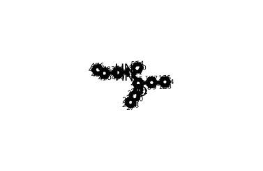 C1=CC2=C(c3cc(-c4ccc(-c5ccccc5)cc4)c4c(c3)C3Cc5ccccc5C=C3O4)NC(c3ccc(-c4ccc5ccccc5c4)cc3)NC2C=C1